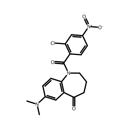 CN(C)c1ccc2c(c1)C(=O)CCCN2C(=O)c1ccc([N+](=O)[O-])cc1Cl